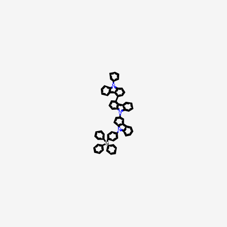 c1ccc(-n2c3ccccc3c3c(-c4cccc5c4c4ccccc4n5-c4ccc5c(c4)c4ccccc4n5-c4ccc([Si](c5ccccc5)(c5ccccc5)c5ccccc5)cc4)cccc32)cc1